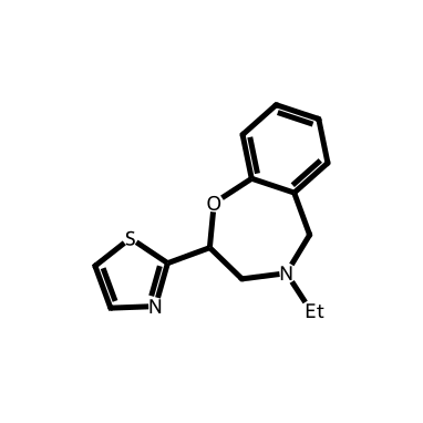 CCN1Cc2ccccc2OC(c2nccs2)C1